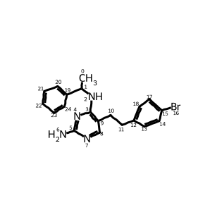 CC(Nc1nc(N)ncc1CCc1ccc(Br)cc1)c1ccccc1